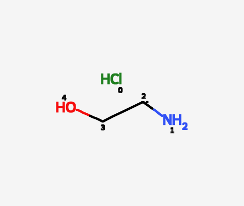 Cl.N[CH]CO